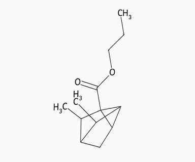 CCCOC(=O)C12C(C)C3CC1C2C3C